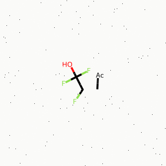 CC(C)=O.OC(F)(F)CF